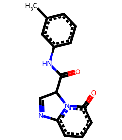 Cc1cccc(NC(=O)C2C=Nc3cccc(=O)n32)c1